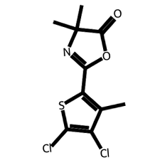 Cc1c(C2=NC(C)(C)C(=O)O2)sc(Cl)c1Cl